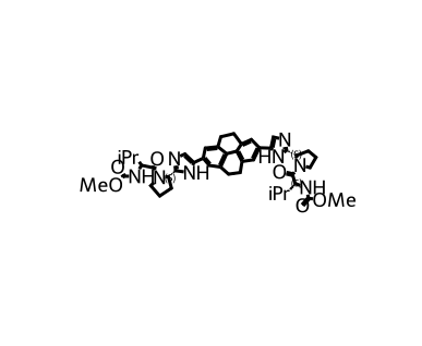 COC(=O)NC(C(=O)N1CCC[C@H]1c1ncc(-c2cc3c4c(c2)CCc2cc(-c5cnc([C@@H]6CCCN6C(=O)[C@@H](NC(=O)OC)C(C)C)[nH]5)cc(c2-4)CC3)[nH]1)C(C)C